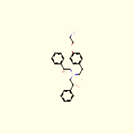 C[C@H](Cc1ccc(OCCN)cc1)N(C[C@@H](O)c1ccccc1)C[C@@H](O)c1ccccc1